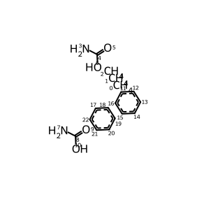 C.C.C.NC(=O)O.NC(=O)O.c1ccccc1.c1ccccc1